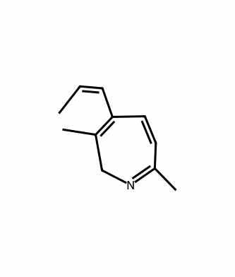 C/C=C\C1=C(C)CN=C(C)C=C1